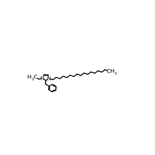 CCCCCCCCCCCCCCCCCN1C=CN(CC)C1Cc1ccccc1